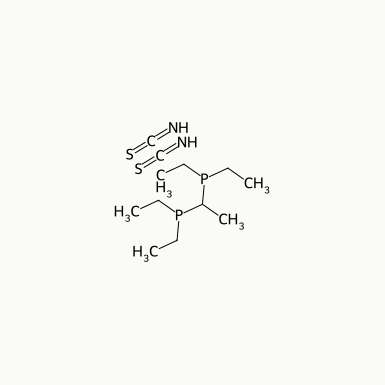 CCP(CC)C(C)P(CC)CC.N=C=S.N=C=S